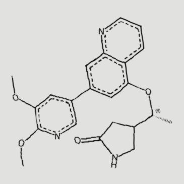 COc1cc(-c2cc(O[C@H](C)C3CNC(=O)C3)c3cccnc3c2)cnc1OC